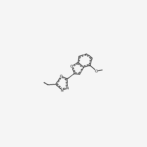 CCc1nnc(-c2cc3c(OC)cccc3o2)o1